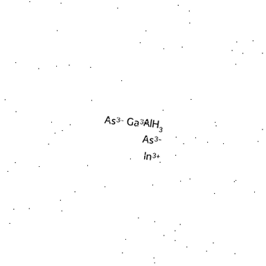 [AlH3].[As-3].[As-3].[Ga+3].[In+3]